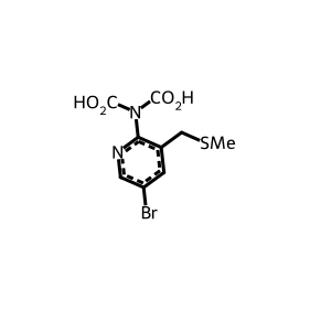 CSCc1cc(Br)cnc1N(C(=O)O)C(=O)O